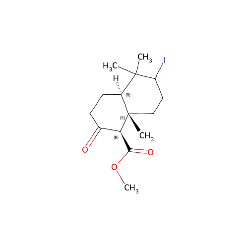 COC(=O)[C@H]1C(=O)CC[C@H]2C(C)(C)C(I)CC[C@]12C